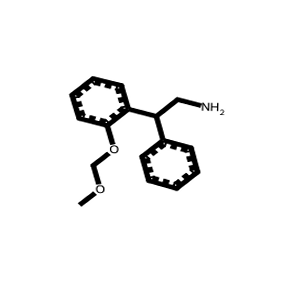 COCOc1ccccc1C(CN)c1ccccc1